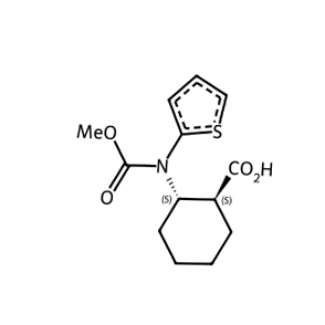 COC(=O)N(c1cccs1)[C@H]1CCCC[C@@H]1C(=O)O